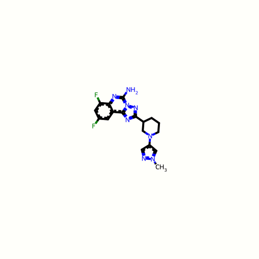 Cn1cc(N2CCCC(c3nc4c5cc(F)cc(F)c5nc(N)n4n3)C2)cn1